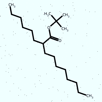 CCCCCCCCC(CCCCCC)C(=O)OC(C)(C)C